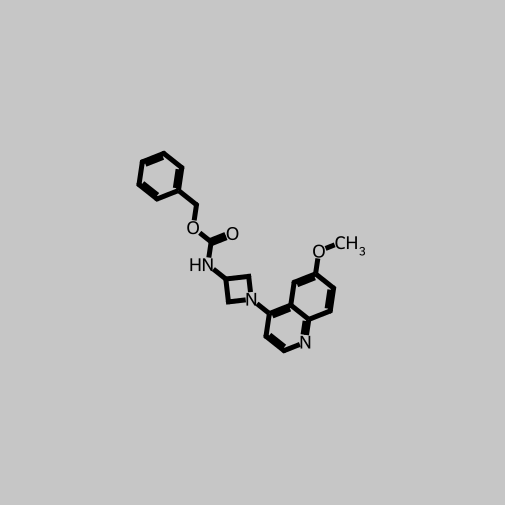 COc1ccc2nccc(N3CC(NC(=O)OCc4ccccc4)C3)c2c1